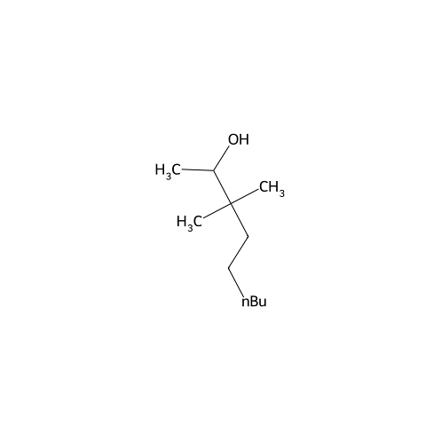 CCCCCCC(C)(C)C(C)O